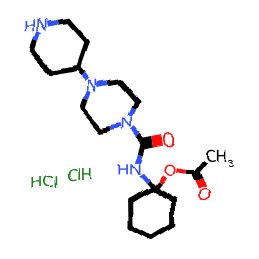 CC(=O)OC1(NC(=O)N2CCN(C3CCNCC3)CC2)CCCCC1.Cl.Cl